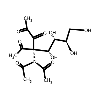 CC(=O)C(=O)[C@](C(C)=O)([C@@H](O)[C@H](O)[C@H](O)CO)N(C(C)=O)C(C)=O